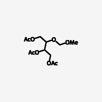 COCOC(COC(C)=O)C(COC(C)=O)OC(C)=O